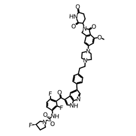 COc1cc(N2CCN(CCc3ccc(-c4cnc5[nH]cc(C(=O)c6c(F)ccc(NS(=O)(=O)N7CC[C@@H](F)C7)c6F)c5c4)cc3)CC2)cc2c1C(=O)N(C1CCC(=O)NC1=O)C2